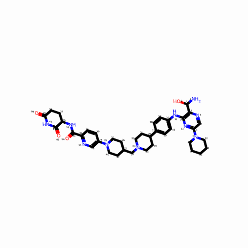 NC(O)c1ncc(N2CCCCC2)nc1Nc1ccc(C2CCN(CC3CCN(c4ccc(C(=O)NC5CCC(=O)NC5=O)nc4)CC3)CC2)cc1